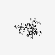 CC(C)C[C@H](NC(=O)OC(C)(C)C)C(=O)N[C@@H](C[C@@H]1CCNC1=O)C(O)C(=O)NC(C)C